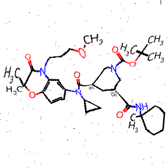 COCCCN1C(=O)C(C)(C)Oc2ccc(N(C(=O)[C@@H]3C[C@H](C(=O)NC4(C)CCCCC4)CN(C(=O)OC(C)(C)C)C3)C3CC3)cc21